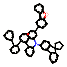 c1ccc(-c2ccccc2-c2ccccc2-c2ccccc2N(c2cccc(-c3ccc4oc5ccccc5c4c3)c2)c2ccc3c(c2)-c2ccccc2C32CCCC2)cc1